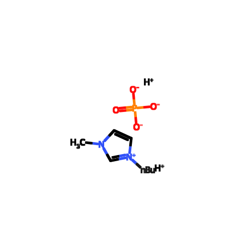 CCCC[n+]1ccn(C)c1.O=P([O-])([O-])[O-].[H+].[H+]